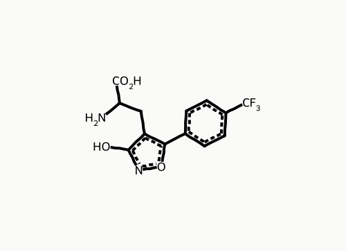 NC(Cc1c(O)noc1-c1ccc(C(F)(F)F)cc1)C(=O)O